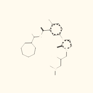 CN(C)CC(O)Cn1ccn(-c2ccc(Cl)c(C(=O)NC(O)C3CCCCCC3)c2)c1=O